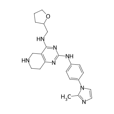 Cc1nccn1-c1ccc(Nc2nc3c(c(NCC4CCCO4)n2)CNCC3)cc1